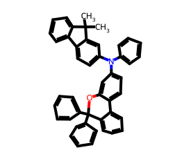 CC1(C)c2ccccc2-c2ccc(N(c3ccccc3)c3ccc4c(c3)OC(c3ccccc3)(c3ccccc3)c3ccccc3-4)cc21